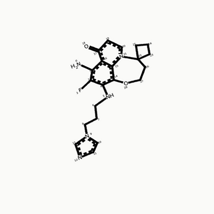 Nc1c(F)c(NCCCn2ccnc2)c2c3c1c(=O)ccn3C1(CCC1)CCO2